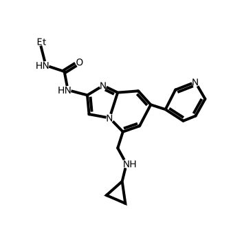 CCNC(=O)Nc1cn2c(CNC3CC3)cc(-c3cccnc3)cc2n1